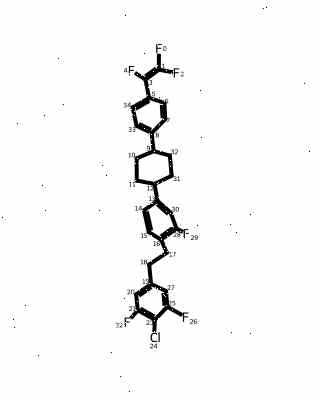 FC(F)=C(F)c1ccc(C2CCC(c3ccc(CCc4cc(F)c(Cl)c(F)c4)c(F)c3)CC2)cc1